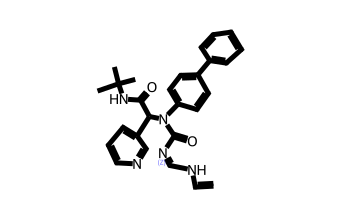 C=CN/C=N\C(=O)N(c1ccc(-c2ccccc2)cc1)C(C(=O)NC(C)(C)C)c1cccnc1